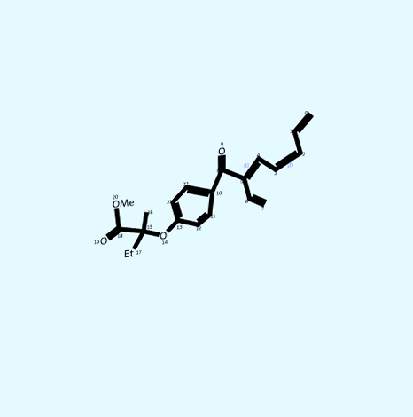 C=C/C=C\C=C(/C=C)C(=O)c1ccc(OC(C)(CC)C(=O)OC)cc1